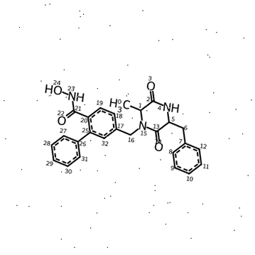 CC1C(=O)NC(Cc2ccccc2)C(=O)N1Cc1ccc(C(=O)NO)c(-c2ccccc2)c1